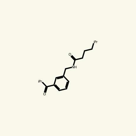 CC(C)CCCC(=O)NCc1cccc(C(=O)C(C)C)c1